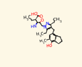 CCc1nn(CC(=O)C(=N)C(CC)C(=O)O)c(CC)c1Cc1cc(C)c(O)c2c1CCC2